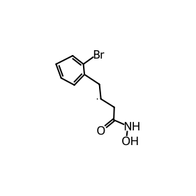 O=C(C[CH]Cc1ccccc1Br)NO